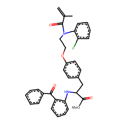 C=C(C)C(=O)N(CCOc1ccc(CC(Nc2ccccc2C(=O)c2ccccc2)C(=O)OC)cc1)c1ccccc1F